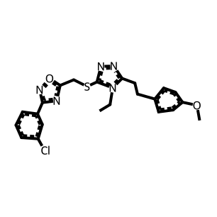 CCn1c(CCc2ccc(OC)cc2)nnc1SCc1nc(-c2cccc(Cl)c2)no1